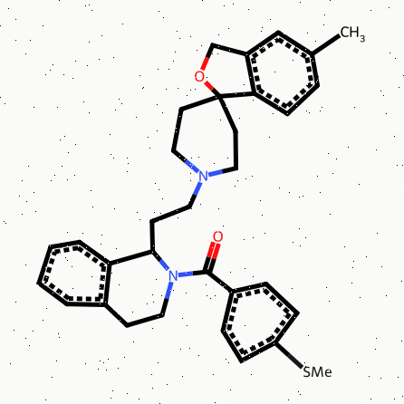 CSc1ccc(C(=O)N2CCc3ccccc3C2CCN2CCC3(CC2)OCc2cc(C)ccc23)cc1